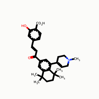 CN1CC=C(c2cc(C(=O)C=Cc3ccc(C(=O)O)c(O)c3)cc3c2C(C)(C)CCC3(C)C)CC1